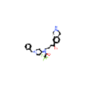 O=C(CCCN(C(=O)C(F)(F)F)C1CCN(Cc2ccccc2)CC1)c1ccc2c(c1)CCNCC2